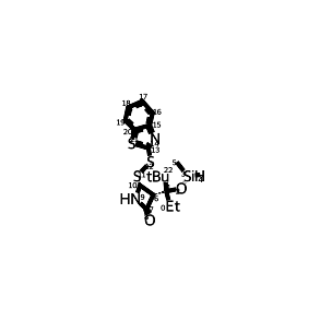 CCC(O[SiH](C)C)([C@@H]1C(=O)N[C@@H]1SSc1nc2ccccc2s1)C(C)(C)C